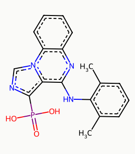 Cc1cccc(C)c1Nc1nc2ccccc2n2cnc(P(=O)(O)O)c12